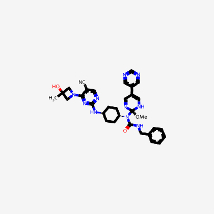 COC1(N(C(=O)NCc2ccccc2)[C@H]2CC[C@H](Nc3ncc(C#N)c(N4CC(C)(O)C4)n3)CC2)N=CC(c2cncnc2)=CN1